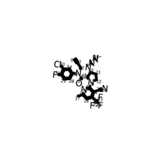 C#CCN(C(=O)[C@@H]1[C@H](N=[N+]=[N-])CCN1c1nc(C)cc(C(F)(F)F)c1C#N)c1ccc(F)c(Cl)c1